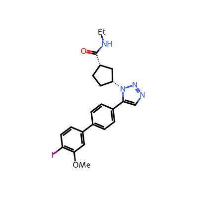 CCNC(=O)[C@H]1CC[C@@H](n2nncc2-c2ccc(-c3ccc(I)c(OC)c3)cc2)C1